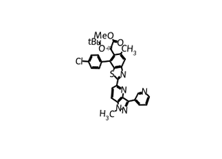 COC(=O)[C@@H](OC(C)(C)C)c1c(C)cc2nc(-c3ccc4c(n3)c(-c3cccnc3)nn4C)sc2c1-c1ccc(Cl)cc1